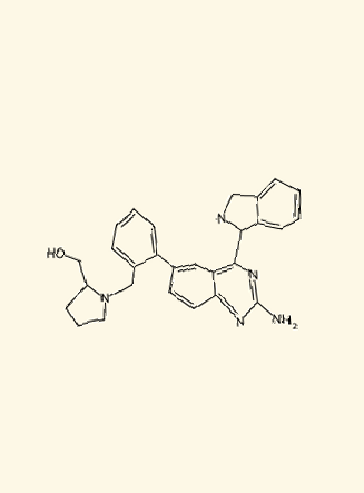 Nc1nc(C2[N]Cc3ccccc32)c2cc(-c3ccccc3CN3CCCC3CO)ccc2n1